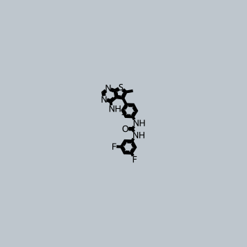 Cc1sc2ncnc(N)c2c1-c1ccc(NC(=O)Nc2cc(F)cc(F)c2)cc1